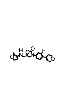 O=C1O[C@@H](CNc2ccon2)CN1c1ccc(C2=CCOCC2)c(F)c1